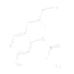 COc1ccc(CC(=O)CC(C)C)c(NC(=O)OC(C)(C)C)c1